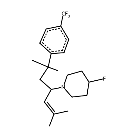 CC(C)=CC(CC(C)(C)c1ccc(C(F)(F)F)cc1)N1CCC(F)CC1